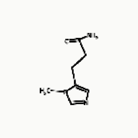 Cn1cncc1CCC(N)=O